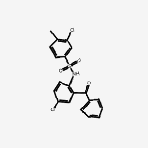 Cc1ccc(S(=O)(=O)Nc2ccc(Cl)cc2C(=O)c2ccccc2)cc1Cl